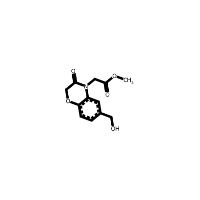 COC(=O)CN1C(=O)COc2ccc(CO)cc21